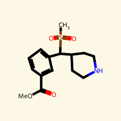 COC(=O)c1cccc(C(C2CCNCC2)S(C)(=O)=O)c1